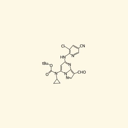 CC(C)(C)OC(=O)N(c1cc(Nc2ncc(C#N)cc2Cl)nc2c(C=O)cnn12)C1CC1